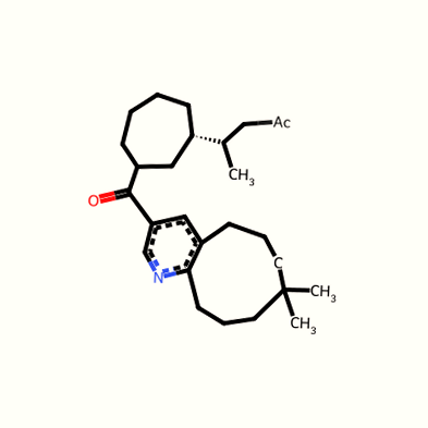 CC(=O)CC(C)[C@H]1CCCCC(C(=O)c2cnc3c(c2)CCCC(C)(C)CCC3)C1